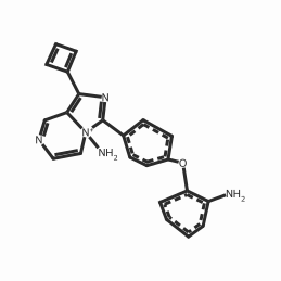 Nc1ccccc1Oc1ccc(C2=NC(C3=CC=C3)=C3C=NC=C[N+]23N)cc1